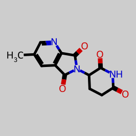 Cc1cnc2c(c1)C(=O)N(C1CCC(=O)NC1=O)C2=O